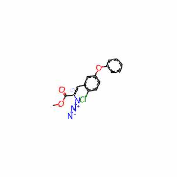 COC(=O)/C(=C/c1cc(Oc2ccccc2)ccc1Cl)N=[N+]=[N-]